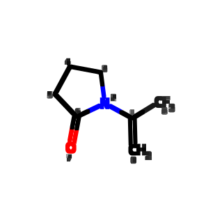 C=C(N1CCCC1=O)C(F)(F)F